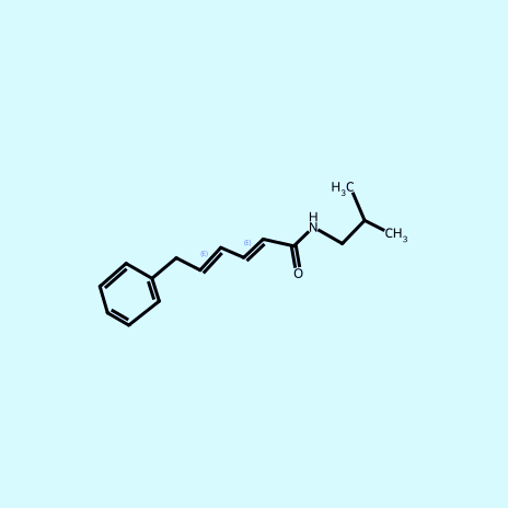 CC(C)CNC(=O)/C=C/C=C/Cc1ccccc1